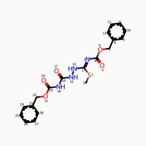 CSC(=NC(=O)OCc1ccccc1)NNC(=O)NC(=O)OCc1ccccc1